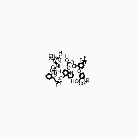 COc1nc(C)nc(NC(=O)NS(=O)(=O)c2ccccc2CCC(F)(F)F)n1.O=C(O)COc1ccc(Cl)c2cccnc12.O=C(O)c1cc(Oc2ccc(C(F)(F)F)cc2Cl)ccc1[N+](=O)[O-]